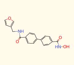 O=C(NO)c1ccc(-c2ccc(C(=O)NCc3ccoc3)cc2)cc1